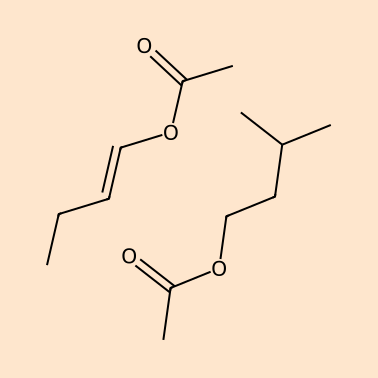 CC(=O)OCCC(C)C.CCC=COC(C)=O